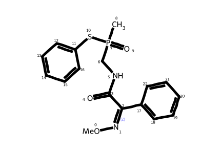 CO/N=C(\C(=O)NCP(C)(=O)Sc1ccccc1)c1ccccc1